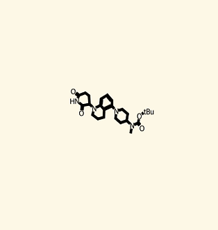 CN(C(=O)OC(C)(C)C)C1CCN(c2cccc3c2CCCN3C2CCC(=O)NC2=O)CC1